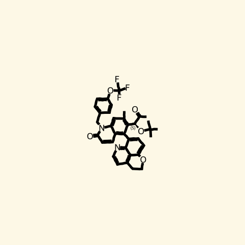 CC(=O)[C@@H](OC(C)(C)C)c1c(C)cc2c(ccc(=O)n2Cc2ccc(OC(F)(F)F)cc2)c1-c1ccc2c3c(ccnc13)CCO2